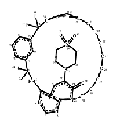 C[C@H]1Nc2ncnc3c2cc(N2CCS(=O)(=O)CC2)c(=O)n3CCCOCCCCN2CC(C2)CC(F)(F)c2cccc1c2